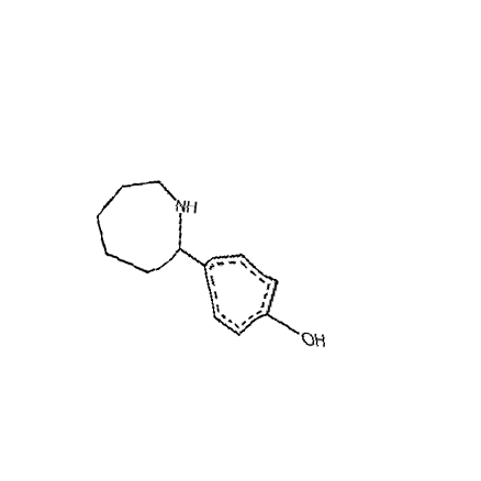 Oc1ccc(C2CCCCCN2)cc1